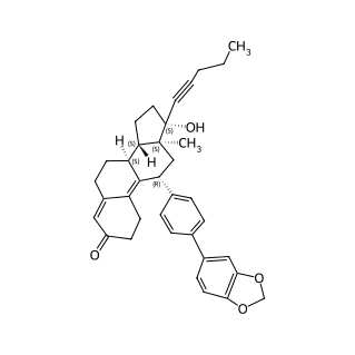 CCCC#C[C@]1(O)CC[C@H]2[C@@H]3CCC4=CC(=O)CCC4=C3[C@@H](c3ccc(-c4ccc5c(c4)OCO5)cc3)C[C@@]21C